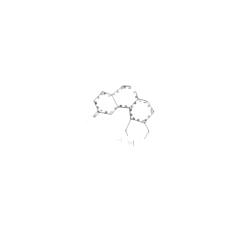 CCc1ccc2scc3ccc(=O)cc-3c2c1CC